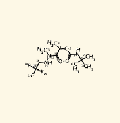 C[C@@H](OC(=O)NC(C)(C)C)C(=O)N(C)NCC(F)(F)F